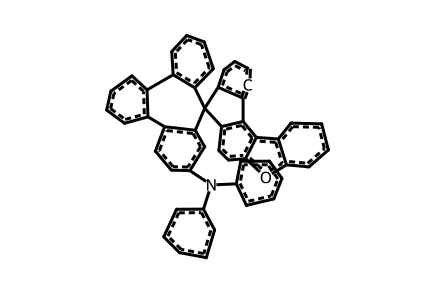 c1ccc(N(c2ccccc2)c2ccc3c(c2)C2(c4ccccc4-c4ccccc4-3)c3ccccc3-c3c2ccc2oc4ccccc4c32)cc1